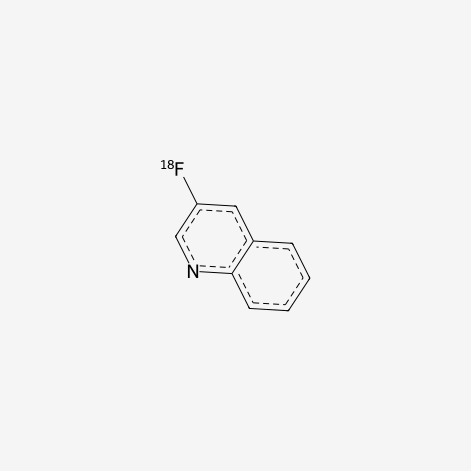 [18F]c1cnc2ccccc2c1